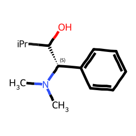 CC(C)C(O)[C@H](c1ccccc1)N(C)C